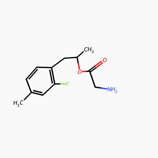 Cc1ccc(CC(C)OC(=O)CN)c(F)c1